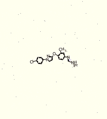 Cc1cc(/N=C/NC(C)C)ccc1Oc1ccn(-c2ccc(Cl)cc2)n1